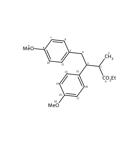 CCOC(=O)C(C)C(Cc1ccc(OC)cc1)c1ccc(OC)cc1